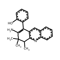 CC1c2nc3ccccc3cc2C(c2ccccc2O)=C(N)C1(C)C